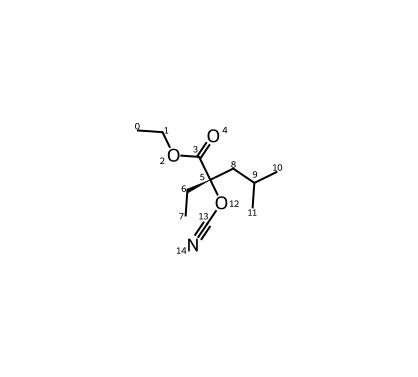 CCOC(=O)[C@](CC)(CC(C)C)OC#N